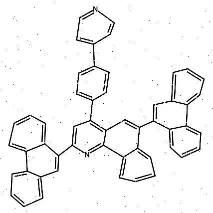 c1ccc2c(c1)cc(-c1cc(-c3ccc(-c4ccncc4)cc3)c3cc(-c4cc5ccccc5c5ccccc45)c4ccccc4c3n1)c1ccccc12